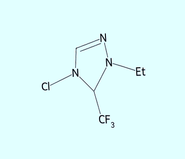 CCN1N=CN(Cl)C1C(F)(F)F